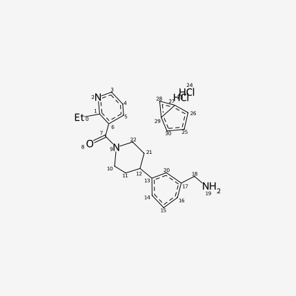 CCc1ncccc1C(=O)N1CCC(c2cccc(CN)c2)CC1.Cl.Cl.c1cc2cc-2c1